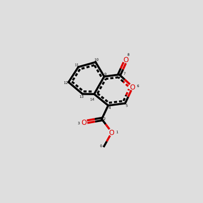 COC(=O)c1coc(=O)c2ccccc12